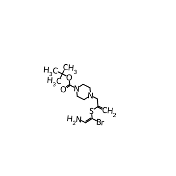 C=C(CN1CCN(C(=O)OC(C)(C)C)CC1)S/C(Br)=C\N